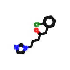 O=C(CCCn1ccnc1)Cc1ccccc1Cl